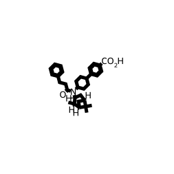 C[C@@H]1[C@@H](N(C(=O)CCc2ccccc2)C2CCC(c3ccc(C(=O)O)cc3)CC2)C[C@H]2C[C@@H]1C2(C)C